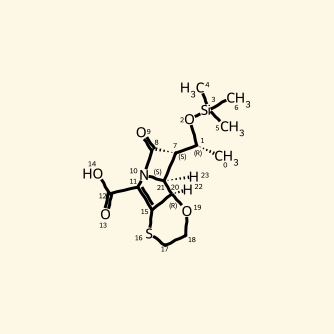 C[C@@H](O[Si](C)(C)C)[C@H]1C(=O)N2C(C(=O)O)=C3SCCO[C@@H]3[C@H]12